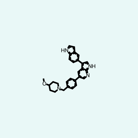 COC1CCN(Cc2ccc(-c3cnc4[nH]cc(-c5ccc6[nH]ccc6c5)c4c3)cc2)CC1